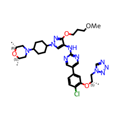 COCCCOc1nn(C2CCC(N3C[C@@H](C)O[C@@H](C)C3)CC2)cc1Nc1ncc(-c2ccc(Cl)c(O[C@@H](C)Cn3cnnn3)c2)cn1